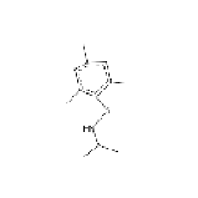 Cc1cc(C)c(SNC(C)C)c(C)c1